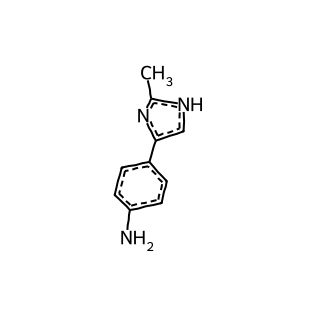 Cc1nc(-c2ccc(N)cc2)c[nH]1